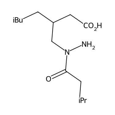 CCC(C)CC(CC(=O)O)CN(N)C(=O)CC(C)C